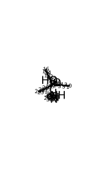 CCCCCCCC[PH](CCCCCCCC)(CCCCCCCC)C(=O)O.c1ccc2[nH]nnc2c1